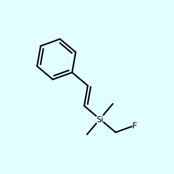 C[Si](C)(C=Cc1ccccc1)CF